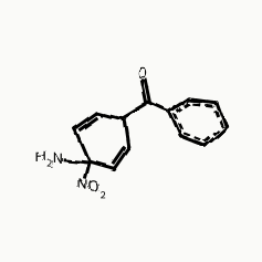 NC1([N+](=O)[O-])C=CC(C(=O)c2ccccc2)C=C1